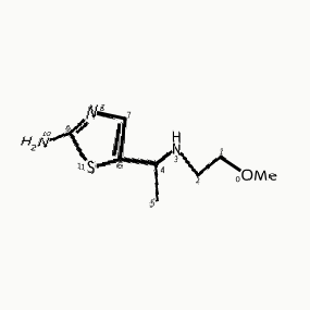 COCCNC(C)c1cnc(N)s1